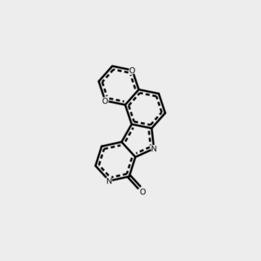 O=c1nccc2c3c(ccc4occoc43)nc1-2